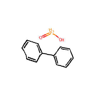 O=[PH2]O.c1ccc(-c2ccccc2)cc1